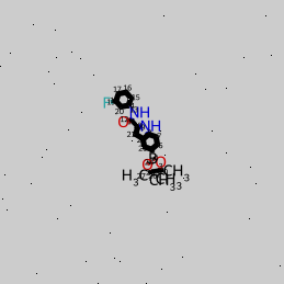 CC1(C)OB(c2ccc3[nH]c(C(=O)Nc4cccc(F)c4)cc3c2)OC1(C)C